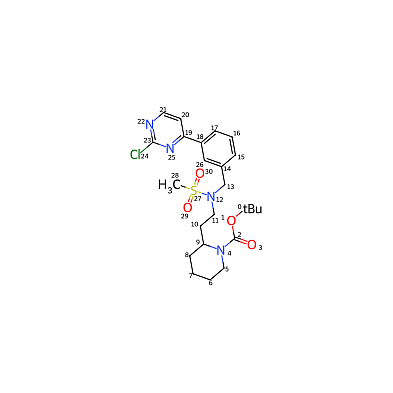 CC(C)(C)OC(=O)N1CCCCC1CCN(Cc1cccc(-c2ccnc(Cl)n2)c1)S(C)(=O)=O